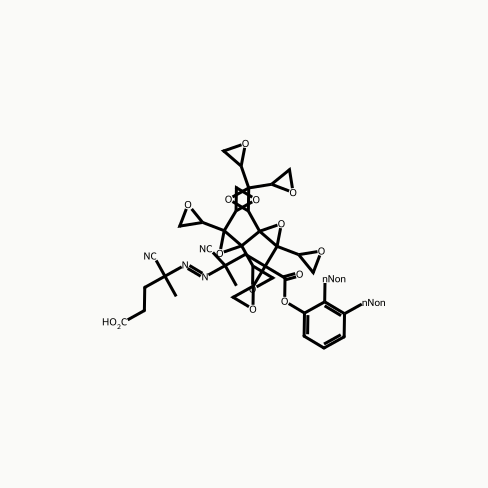 CCCCCCCCCc1cccc(OC(=O)C(CC(C)(C#N)N=NC(C)(C#N)CCC(=O)O)(C2CO2)C2(C3CO3)OC2(C2OC2(C2CO2)C2CO2)C2(C3CO3)OC2(C2CO2)C2CO2)c1CCCCCCCCC